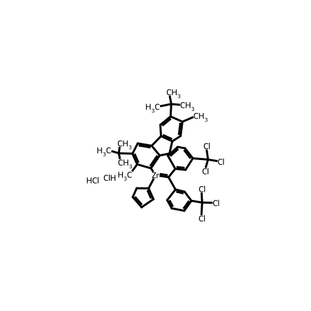 Cc1cc2c(cc1C(C)(C)C)-c1cc(C(C)(C)C)c(C)[c]([Zr]([C]3=CC=CC3)=[C](c3cccc(C(Cl)(Cl)Cl)c3)c3cccc(C(Cl)(Cl)Cl)c3)c1C2.Cl.Cl